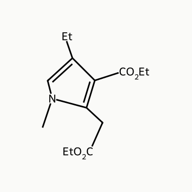 CCOC(=O)Cc1c(C(=O)OCC)c(CC)cn1C